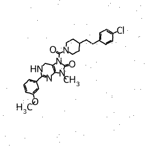 COc1cccc(C2=Nc3c(n(C(=O)N4CCC(CCc5ccc(Cl)cc5)CC4)c(=O)n3C)CN2)c1